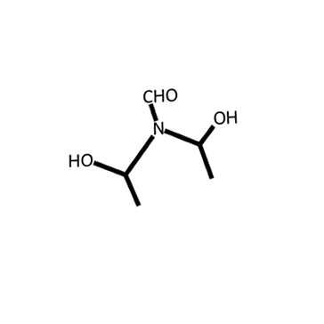 CC(O)N(C=O)C(C)O